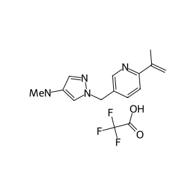 C=C(C)c1ccc(Cn2cc(NC)cn2)cn1.O=C(O)C(F)(F)F